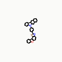 c1ccc2cc3c(cc2c1)c1ccccc1n3-c1ccc(-c2nc3ccc4oc5ccccc5c4c3s2)cc1